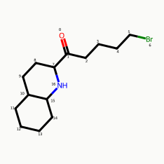 O=C(CCCCBr)C1CCC2CCCCC2N1